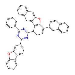 C1=C(c2ccc3ccccc3c2)c2oc3cc4ccccc4cc3c2C(c2nc(-c3ccccc3)nc(-c3ccc4c(c3)oc3ccccc34)n2)C1